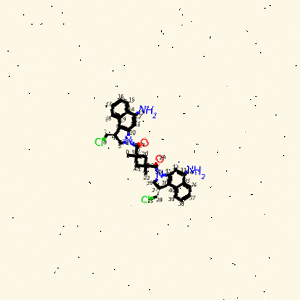 CC1(C(=O)N2C[C@@H](CCl)c3c2cc(N)c2ccccc32)CC(C)(C(=O)N2C[C@@H](CCl)c3c2cc(N)c2ccccc32)C1